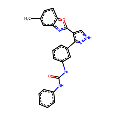 Cc1ccc2oc(-c3c[nH]nc3-c3cccc(NC(=O)Nc4ccccc4)c3)nc2c1